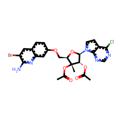 CC(=O)O[C@H]1[C@H](n2ccc3c(Cl)ncnc32)O[C@H](COc2ccc3cc(Br)c(N)nc3c2)[C@@]1(C)OC(C)=O